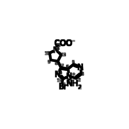 N[N+]12C=CN=CC1=C(C1CCN(C(=O)[O-])C1)N=C2Br